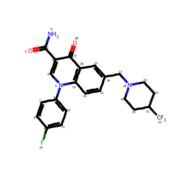 NC(=O)c1cn(-c2ccc(F)cc2)c2ccc(CN3CCC(C(F)(F)F)CC3)cc2c1=O